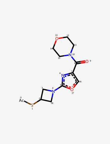 CC(=O)SC1CN(c2nc(C(=O)N3CCOCC3)co2)C1